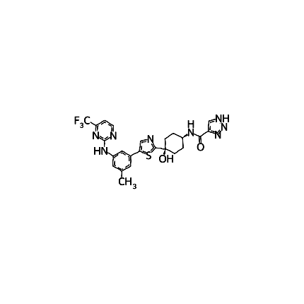 Cc1cc(Nc2nccc(C(F)(F)F)n2)cc(-c2cnc([C@]3(O)CC[C@@H](NC(=O)c4c[nH]nn4)CC3)s2)c1